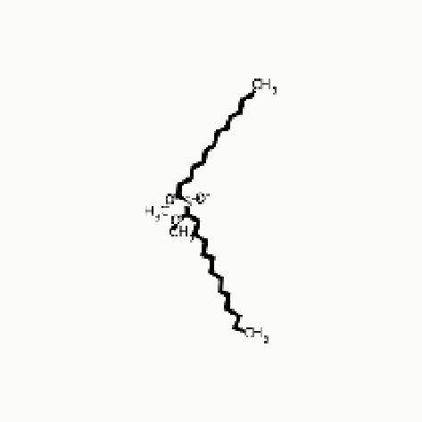 CCCCCCCCCCCCCC(OC)[S+]([O-])C(CCCCCCCCCCCCC)OC